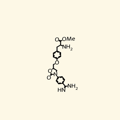 COC(=O)C(N)Cc1ccc(OCC2CN(c3ccc(C(=N)N)cc3)C(=O)O2)cc1